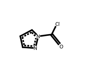 O=C(Cl)n1cccn1